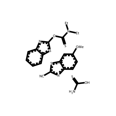 CCN(CC)C(=S)Oc1nc2ccccc2s1.COc1ccc2nc(C#N)sc2c1.NC(O)=S